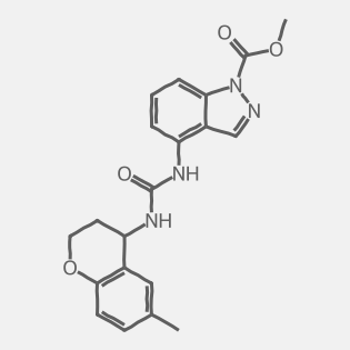 COC(=O)n1ncc2c(NC(=O)NC3CCOc4ccc(C)cc43)cccc21